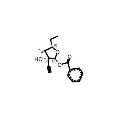 C#C[C@]1(O)[C@@H](OC(=O)c2ccccc2)O[C@H](CC)[C@H]1C